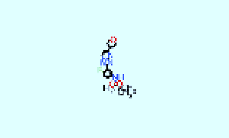 CC(C)(C)OC(=O)Nc1ccc(F)c(-c2nc3nc(C4=CCOCC4)ccn3n2)c1